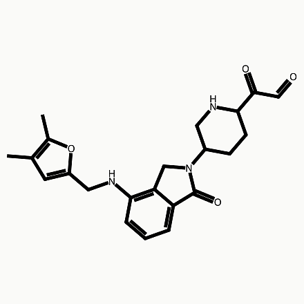 Cc1cc(CNc2cccc3c2CN(C2CCC(C(=O)C=O)NC2)C3=O)oc1C